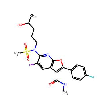 CNC(=O)c1c(-c2ccc(F)cc2)oc2nc(N(CCCC(C)O)S(C)(=O)=O)c(I)cc12